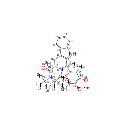 [2H]c1c([2H])c([C@]2([2H])c3[nH]c4ccccc4c3C[C@]3([2H])C(=O)N(C([2H])([2H])[2H])C([2H])([2H])C(=O)N23)c([2H])c2c1OCO2